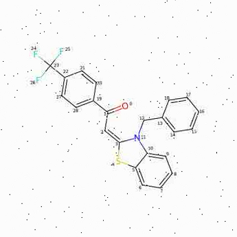 O=C(C=C1Sc2ccccc2N1Cc1ccccc1)c1ccc(C(F)(F)F)cc1